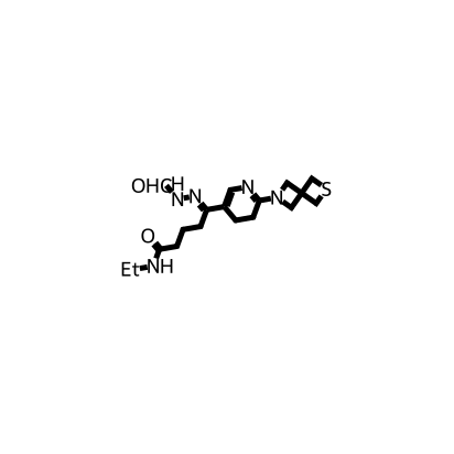 CCNC(=O)CCC/C(=N\NC=O)C1=CN=C(N2CC3(CSC3)C2)CC1